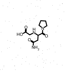 NC(=O)CC(NCC(=O)O)C(=O)N1CCCC1